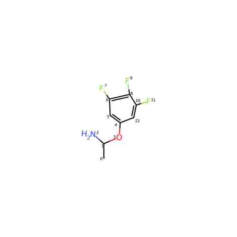 CC(N)Oc1cc(F)c(F)c(F)c1